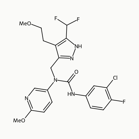 COCCc1c(CN(C(=O)Nc2ccc(F)c(Cl)c2)c2ccc(OC)nc2)n[nH]c1C(F)F